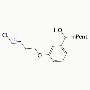 CCCCCC(O)c1cccc(OCC/C=C/Cl)c1